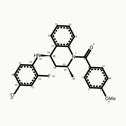 COc1ccc(C(=O)N2c3ccccc3[C@H](Nc3ccc(Cl)cc3F)C[C@@H]2C)cc1